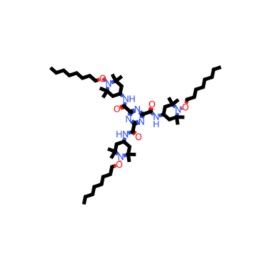 CCCCCCCCON1C(C)(C)CC(NC(=O)c2nc(C(=O)NC3CC(C)(C)N(OCCCCCCCC)C(C)(C)C3)nc(C(=O)NC3CC(C)(C)N(OCCCCCCCC)C(C)(C)C3)n2)CC1(C)C